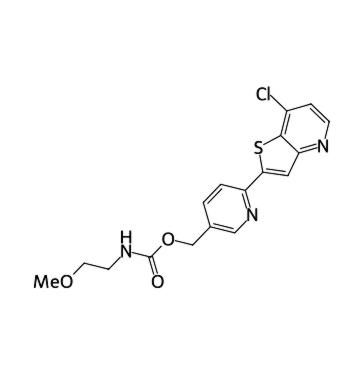 COCCNC(=O)OCc1ccc(-c2cc3nccc(Cl)c3s2)nc1